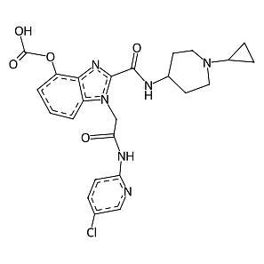 O=C(Cn1c(C(=O)NC2CCN(C3CC3)CC2)nc2c(OC(=O)O)cccc21)Nc1ccc(Cl)cn1